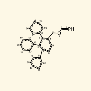 P=COCc1ccc(-c2ccccc2)c(-c2ccccc2)c1-c1ccccc1